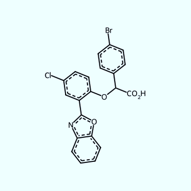 O=C(O)C(Oc1ccc(Cl)cc1-c1nc2ccccc2o1)c1ccc(Br)cc1